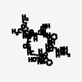 CCCC[C@H](NC(C)=O)C(=O)N[C@H]1CCC(=O)NCCC[C@@H](C(=O)O)NC(=O)[C@H](Cc2c[nH]c3ccccc23)NC(=O)[C@H](CCCNC(=N)N)NC(=O)[C@@H](Cc2ccccc2)NC(=O)[C@H](Cc2c[nH]cn2)NC1=O